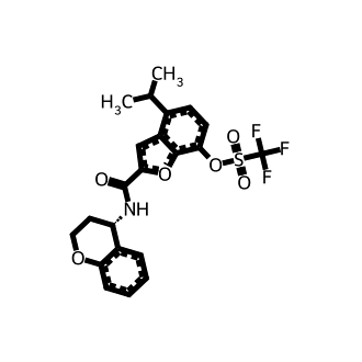 CC(C)c1ccc(OS(=O)(=O)C(F)(F)F)c2oc(C(=O)N[C@H]3CCOc4ccccc43)cc12